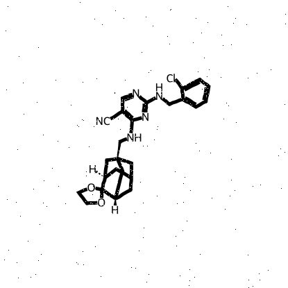 N#Cc1cnc(NCc2ccccc2Cl)nc1NC[C@]12CC3C[C@H](C1)C1(OCCO1)[C@@H](C3)C2